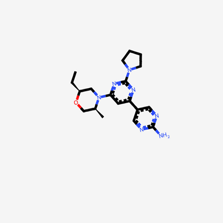 CC[C@H]1CN(c2cc(-c3cnc(N)nc3)nc(N3CCCC3)n2)[C@@H](C)CO1